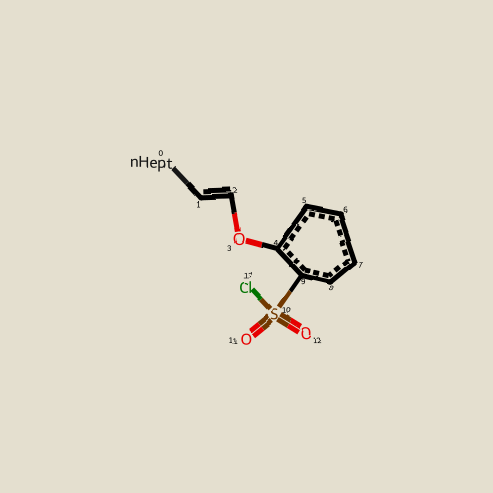 CCCCCCCC=COc1ccccc1S(=O)(=O)Cl